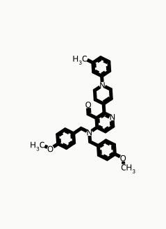 COc1ccc(CN(Cc2ccc(OC)cc2)c2ccnc(C3=CCN(c4cccc(C)c4)CC3)c2C=O)cc1